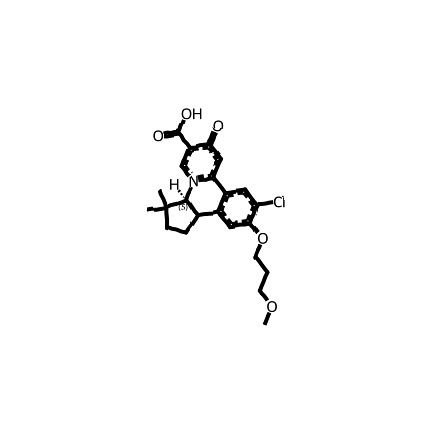 COCCCOc1cc2c(cc1Cl)-c1cc(=O)c(C(=O)O)cn1[C@H]1C2CCC1(C)C